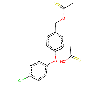 CC(=S)OCc1ccc(Oc2ccc(Cl)cc2)cc1.CC(O)=S